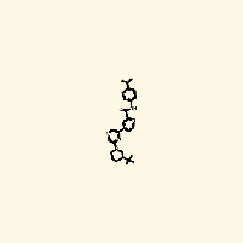 CC(C)c1ccc(NC(=O)c2cc(-c3cncc(N4CCCC(C(C)(C)C)C4)n3)ccn2)cc1